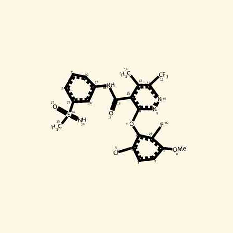 COc1ccc(Cl)c(Oc2nnc(C(F)(F)F)c(C)c2C(=O)Nc2cccc(S(C)(=N)=O)c2)c1F